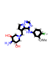 COc1cc(Nc2ncnn3ccc(CN4CC(O)C(N)[C@@H](O)C4)c23)ccc1F